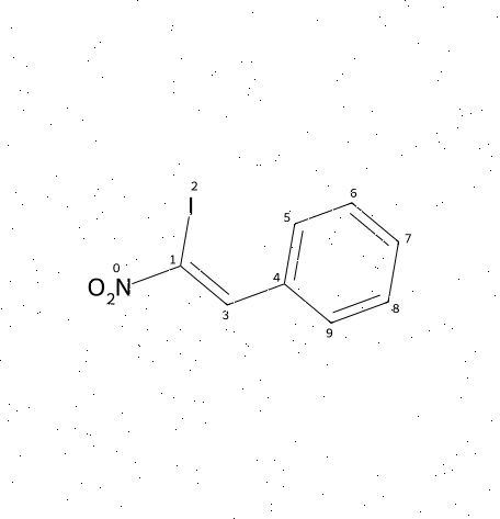 O=[N+]([O-])C(I)=Cc1ccccc1